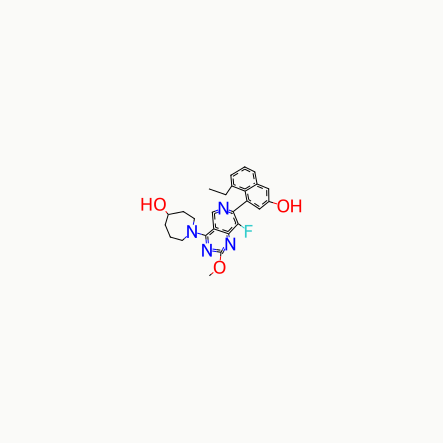 CCc1cccc2cc(O)cc(-c3ncc4c(N5CCCC(O)CC5)nc(OC)nc4c3F)c12